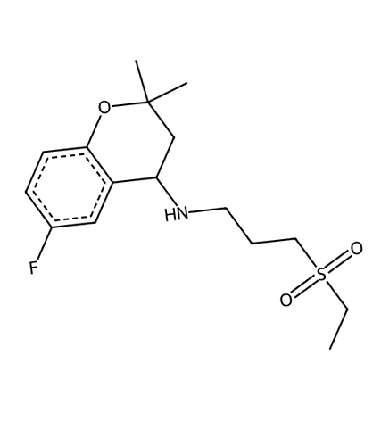 CCS(=O)(=O)CCCNC1CC(C)(C)Oc2ccc(F)cc21